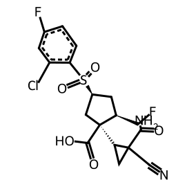 N#CC1(C(N)=O)CC1[C@]1(C(=O)O)C[C@@H](S(=O)(=O)c2ccc(F)cc2Cl)C[C@H]1CF